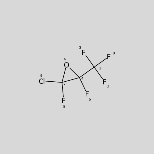 FC(F)(F)C1(F)OC1(F)Cl